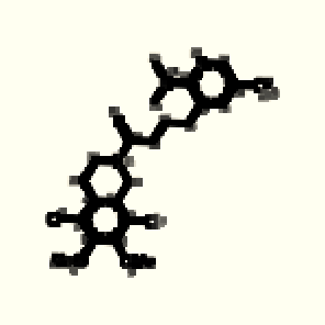 COc1c(Cl)c2c(c(Cl)c1OC)CN(C(=O)CCCc1cc(C(F)(F)F)cnc1N(C)C)CC2